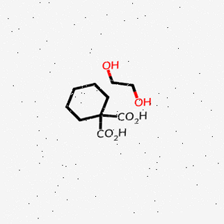 O=C(O)C1(C(=O)O)CCCCC1.OCCO